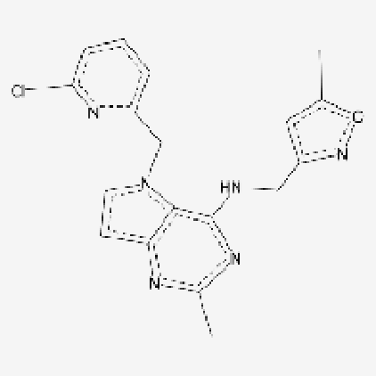 Cc1nc(NCc2cc(C)on2)c2c(ccn2Cc2cccc(Cl)n2)n1